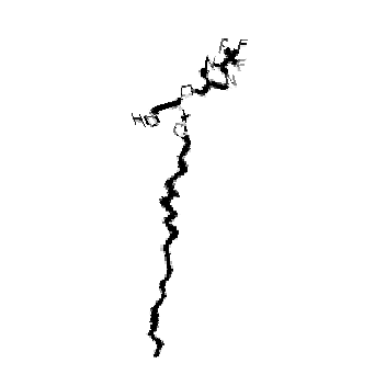 CCCCCCCCCCCCCCCCCCOC[C@H](CO)OCc1cnc(C(F)(F)F)nc1